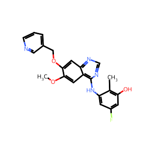 COc1cc2c(Nc3cc(F)cc(O)c3C)ncnc2cc1OCc1cccnc1